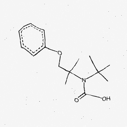 CC(C)(C)N(C(=O)O)C(C)(C)COc1ccccc1